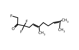 CC(C)=CCC/C(C)=C/CC(F)(F)C(=O)CF